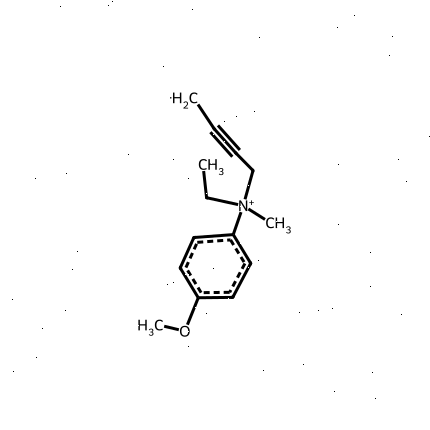 [CH2]C#CC[N+](C)(CC)c1ccc(OC)cc1